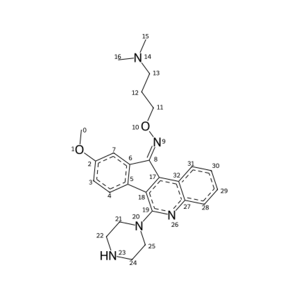 COc1ccc2c(c1)C(=NOCCCN(C)C)c1c-2c(N2CCNCC2)nc2ccccc12